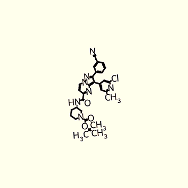 Cc1cc(-c2c(-c3cccc(C#N)c3)nn3ccc(C(=O)N[C@@H]4CCCN(C(=O)OC(C)(C)C)C4)nc23)cc(Cl)n1